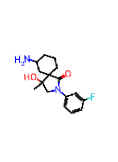 CC1(O)CN(c2cccc(F)c2)C(=O)C12CCCC(N)C2